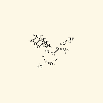 CN(CC(=O)O)C([S-])=[S]=[Mn].[CH+]=O.[CH+]=O.[CH+]=O.[CH+]=O